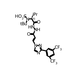 CC(C)[C@@H](C(=O)NNC(=O)C=Cn1cnc(-c2cc(C(F)(F)F)cc(C(F)(F)F)c2)n1)N(C(=O)O)C(C)(C)C